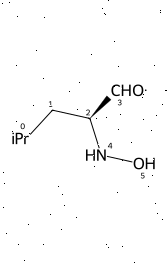 CC(C)C[C@@H]([C]=O)NO